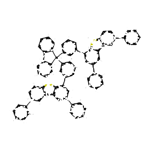 c1ccc(-c2ccc3sc4c(-c5cccc(C6(c7cccc(-c8cc(-c9ccccc9)cc9c8sc8ccc(-c%10ccccc%10)cc89)c7)c7ccccc7-c7ccccc76)c5)cc(-c5ccccc5)cc4c3c2)cc1